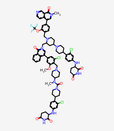 COc1cc(-c2cn(CC3CC(N4CCC(c5ccc(NC6CCC(=O)NC6=O)cc5Cl)CC4)CCN3Cc3ccc(-c4cn(C)c(=O)c5cnccc45)cc3OC(F)(F)F)c(=O)c3ccccc23)cc(Cl)c1CN1CCC(N(C)C(=O)N2CCC(c3ccc(NC4CCC(=O)NC4=O)cc3Cl)CC2)CC1